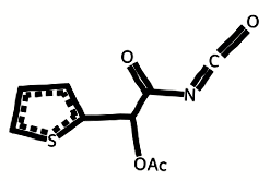 CC(=O)OC(C(=O)N=C=O)c1cccs1